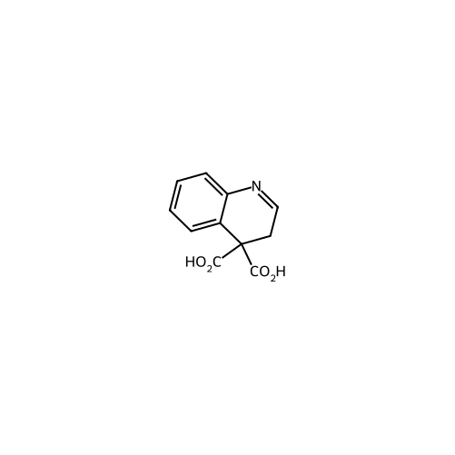 O=C(O)C1(C(=O)O)CC=Nc2ccccc21